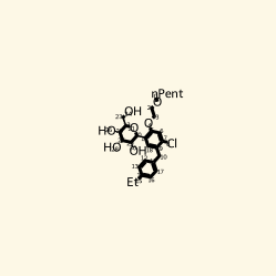 CCCCCOCCOc1cc(Cl)c(Cc2ccc(CC)cc2)cc1[C@@H]1O[C@H](CO)[C@@H](O)[C@H](O)[C@H]1O